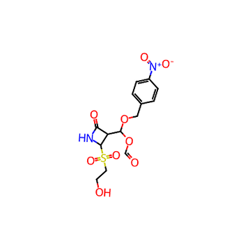 O=COC(OCc1ccc([N+](=O)[O-])cc1)C1C(=O)NC1S(=O)(=O)CCO